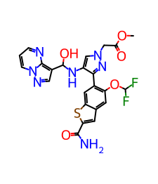 COC(=O)Cn1cc(NC(O)c2cnn3cccnc23)c(-c2cc3sc(C(N)=O)cc3cc2OC(F)F)n1